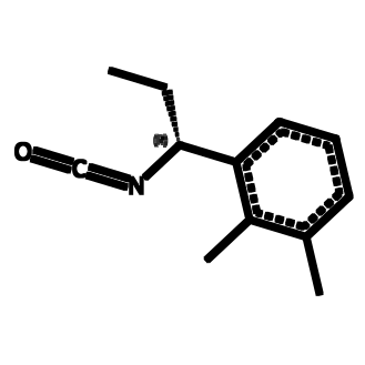 CC[C@@H](N=C=O)c1cccc(C)c1C